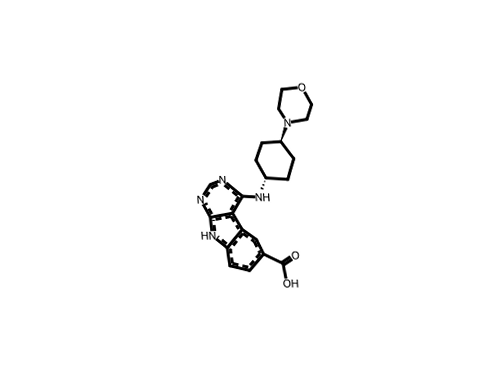 O=C(O)c1ccc2[nH]c3ncnc(N[C@H]4CC[C@H](N5CCOCC5)CC4)c3c2c1